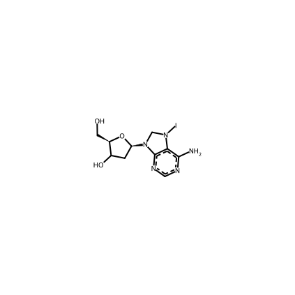 Nc1ncnc2c1N(I)CN2[C@H]1CC(O)[C@@H](CO)O1